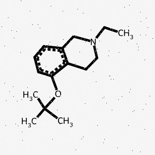 CCN1CCc2c(cccc2OC(C)(C)C)C1